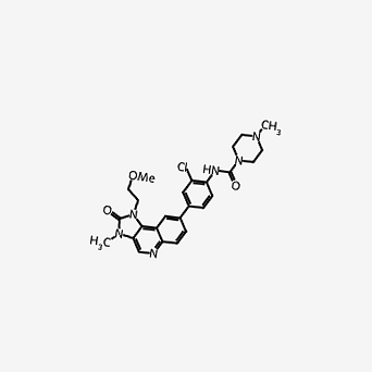 COCCn1c(=O)n(C)c2cnc3ccc(-c4ccc(NC(=O)N5CCN(C)CC5)c(Cl)c4)cc3c21